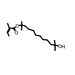 CC=C(C)C(=O)OC(C)(C)CCCCCCCCC(C)(C)O